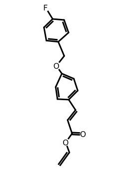 C=COC(=O)C=Cc1ccc(OCc2ccc(F)cc2)cc1